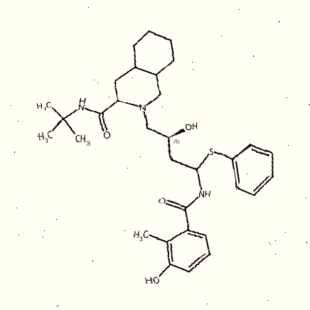 Cc1c(O)cccc1C(=O)NC(C[C@H](O)CN1CC2CCCCC2CC1C(=O)NC(C)(C)C)Sc1ccccc1